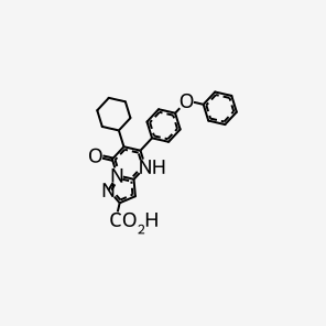 O=C(O)c1cc2[nH]c(-c3ccc(Oc4ccccc4)cc3)c(C3CCCCC3)c(=O)n2n1